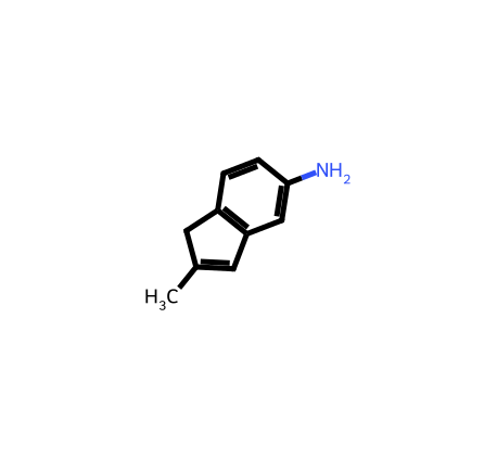 CC1=Cc2cc(N)ccc2C1